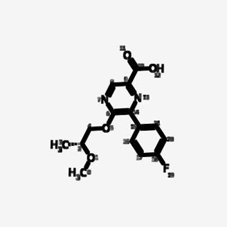 CO[C@H](C)COc1ncc(C(=O)O)nc1-c1ccc(F)cc1